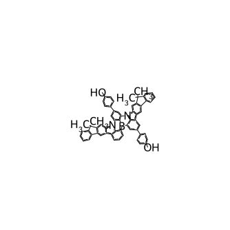 CC1(C)c2ccccc2-c2cc3c4cccc5c4n(c3cc21)-c1cc(-c2ccc(O)cc2)cc2c1B5c1cc(-c3ccc(O)cc3)cc3c4cc5c(cc4n-2c13)C(C)(C)c1ccccc1-5